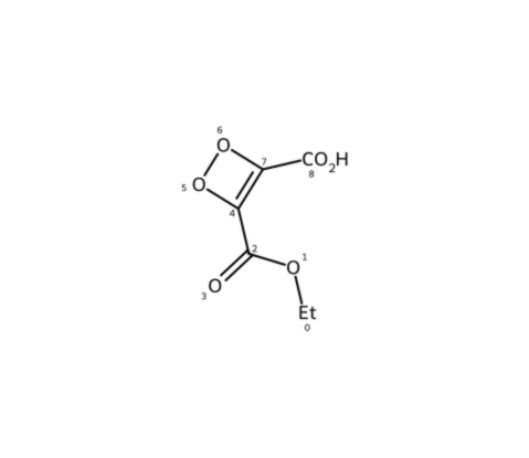 CCOC(=O)c1ooc1C(=O)O